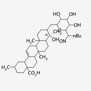 CCCCC(N=O)C1OC(CC2CCC3(C)C4CC=C5C6CC(C)CCC6(C(=O)O)CCC5C4(C)CCC3[C@]2(C)O)C(O)C(O)C1O